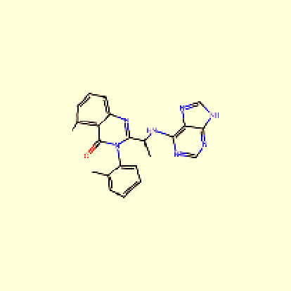 Cc1ccccc1-n1c(C(C)Nc2ncnc3[nH]cnc23)nc2cccc(C)c2c1=O